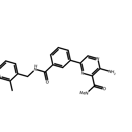 CNC(=O)c1nc(-c2cccc(C(=O)NCc3ccccc3C)c2)cnc1N